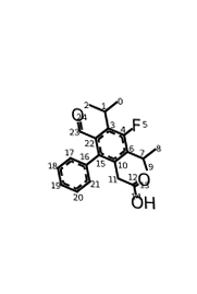 CC(C)c1c(F)c(C(C)C)c(CC(=O)O)c(-c2ccccc2)c1C=O